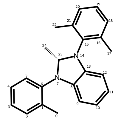 Cc1ccccc1N1c2ccccc2N(c2c(C)cccc2C)[C@H]1C